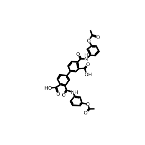 CC(=O)Oc1cccc(NC(=O)c2ccc(-c3ccc(C(=O)O)c(C(=O)Nc4cccc(OC(C)=O)c4)c3)cc2C(=O)O)c1